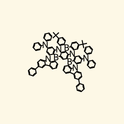 CC(C)(C)c1ccc2c(c1)N1c3cc(N(c4ccccc4)c4ccccc4)cc4c3B(c3cc5c6c(c31)B2c1ccc(C(C)(C)C)cc1N6c1cc(N(c2ccccc2)c2ccccc2)cc2c1B5c1cccc3c5cc(-c6ccccc6)ccc5n-2c13)c1cccc2c3cc(-c5ccccc5)ccc3n-4c12